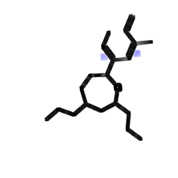 C=C/C(C)=C\C(=C/C)C1CCC(CCC)CC(CCC)O1